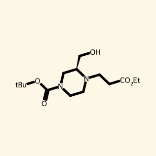 CCOC(=O)CCN1CCN(C(=O)OC(C)(C)C)C[C@H]1CO